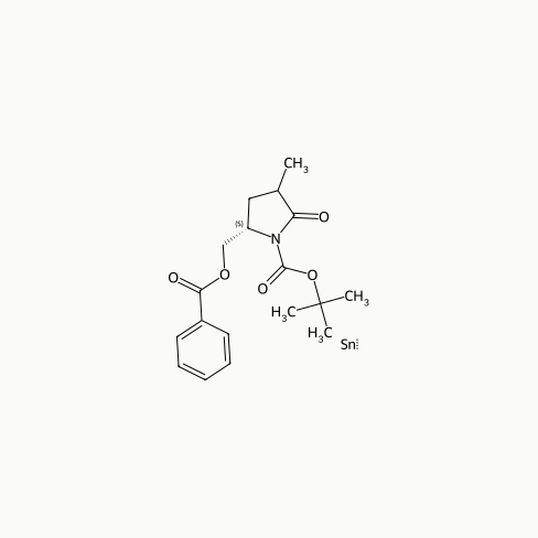 CC1C[C@@H](COC(=O)c2ccccc2)N(C(=O)OC(C)(C)C)C1=O.[Sn]